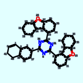 C1=Cc2cc(-c3nc(-c4cccc5oc6ccccc6c45)nc(-c4cccc5oc6ccccc6c45)n3)ccc2CC1